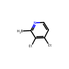 Bc1nccc(CC)c1CC